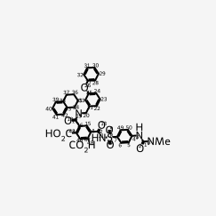 CNC(=O)Nc1ccc(S(=O)(=O)NC(=O)c2cc(C(=O)N(Cc3cccc(Oc4ccccc4)c3)[C@H]3CCCc4ccccc43)c(C(=O)O)cc2C(=O)O)cc1